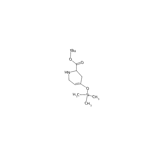 CC(C)(C)OC(=O)C1CC(O[Si](C)(C)C)=CCN1